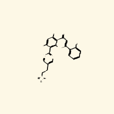 O=c1cc(-c2ccccc2Cl)oc2c(-c3ncc(CCS(=O)(=O)Cl)cn3)c(O)cc(O)c12